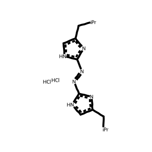 CC(C)Cc1c[nH]c(N=Nc2nc(CC(C)C)c[nH]2)n1.Cl.Cl